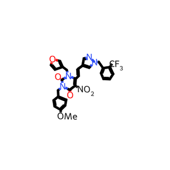 COc1ccc(Cn2c(=O)c([N+](=O)[O-])c(C=Cc3cnn(Cc4ccccc4C(F)(F)F)c3)n(Cc3ccoc3)c2=O)cc1